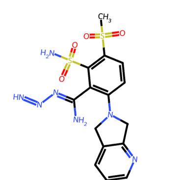 CS(=O)(=O)c1ccc(N2Cc3cccnc3C2)c(/C(N)=N/N=N)c1S(N)(=O)=O